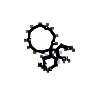 C=C/C(=C\C)C1(C(/C=C\C)=C/C)CCCCCCCCCCC1